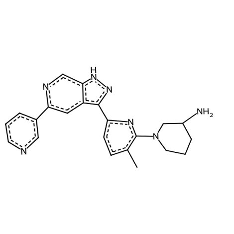 Cc1ccc(-c2n[nH]c3cnc(-c4cccnc4)cc23)nc1N1CCCC(N)C1